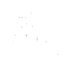 Cn1ncc2c(N3CCCC3)nc(N3CCN(CCO)CC3)nc21